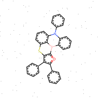 c1ccc(-c2oc3c(c2-c2ccccc2)Sc2cccc4c2B3c2ccccc2N4c2ccccc2)cc1